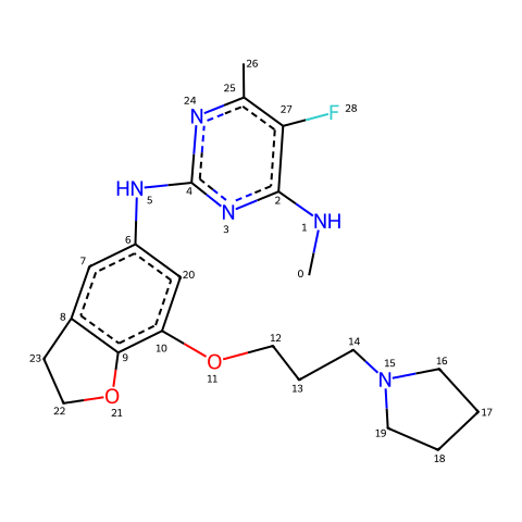 CNc1nc(Nc2cc3c(c(OCCCN4CCCC4)c2)OCC3)nc(C)c1F